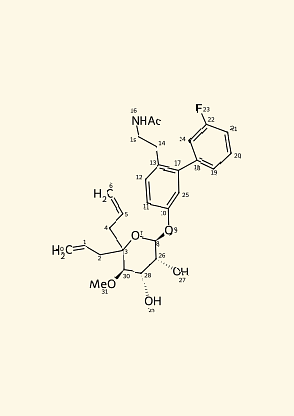 C=CCC1(CC=C)O[C@@H](Oc2ccc(CCNC(C)=O)c(-c3cccc(F)c3)c2)[C@H](O)[C@H](O)[C@H]1OC